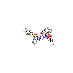 CC(C)C[C@H](NC(=O)c1cc2ccccc2s1)C(=O)NCCCCN(C)S(=O)(=O)c1ccccc1C#N